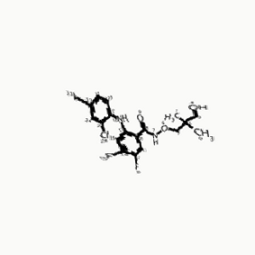 CC(C)(CO)CONC(=O)c1cc(F)c(F)cc1Nc1ccc(I)cc1Cl